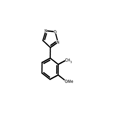 COc1cccc(-c2cnon2)c1C